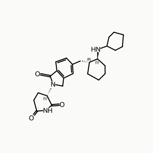 O=C1CC[C@H](N2Cc3cc(C[C@H]4CCCC[C@@H]4NC4CCCCC4)ccc3C2=O)C(=O)N1